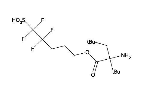 CC(C)(C)CC(N)(C(=O)OCCCC(F)(F)C(F)(F)S(=O)(=O)O)C(C)(C)C